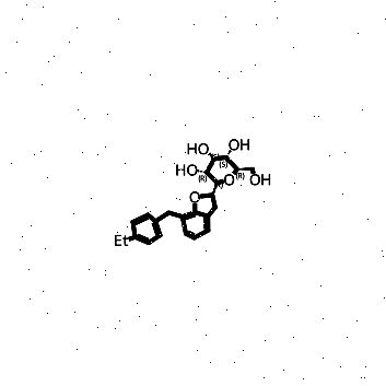 CCc1ccc(Cc2cccc3c2OC([C@@H]2O[C@H](CO)[C@@H](O)[C@H](O)[C@H]2O)C3)cc1